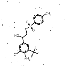 Cc1ccc(S(=O)(=O)OCC(O)c2cc(Cl)c(N)c(C(F)(F)F)c2)cc1